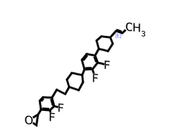 C/C=C/C1CCC(c2ccc(C3CCC(CCc4ccc(C5CO5)c(F)c4F)CC3)c(F)c2F)CC1